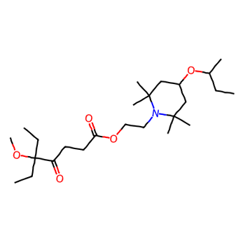 CCC(C)OC1CC(C)(C)N(CCOC(=O)CCC(=O)C(CC)(CC)OC)C(C)(C)C1